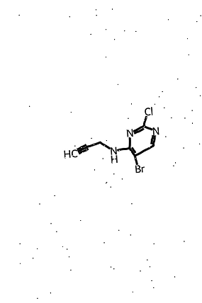 C#CCNc1nc(Cl)ncc1Br